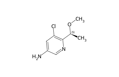 CO[C@@H](C)c1ncc(N)cc1Cl